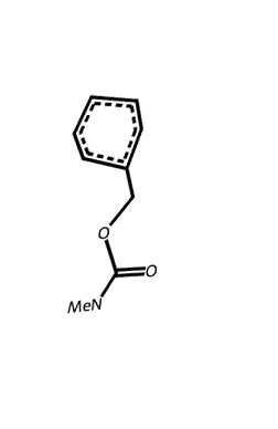 CNC(=O)OCc1ccccc1